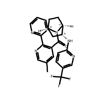 Cc1cnc(-c2ncccn2)c(C(=O)N2[C@@H]3CC[C@H]2[C@H](Nc2ccc(C(F)(F)F)cn2)C3)c1